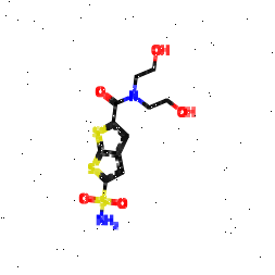 NS(=O)(=O)c1cc2cc(C(=O)N(CCO)CCO)sc2s1